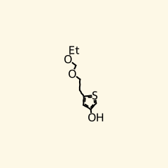 CCOCOCCc1cc(O)cs1